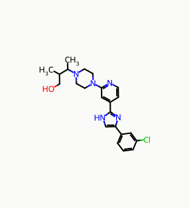 CC(CO)C(C)N1CCN(c2cc(-c3nc(-c4cccc(Cl)c4)c[nH]3)ccn2)CC1